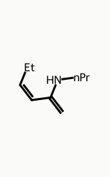 C=C(/C=C\CC)NCCC